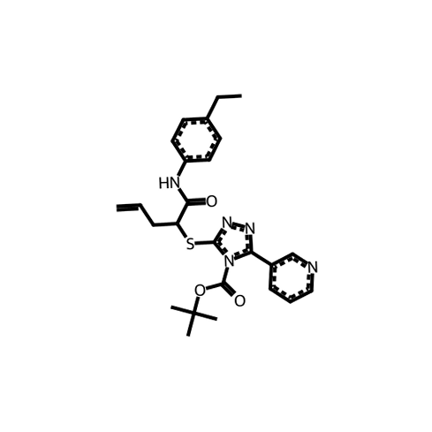 C=CCC(Sc1nnc(-c2cccnc2)n1C(=O)OC(C)(C)C)C(=O)Nc1ccc(CC)cc1